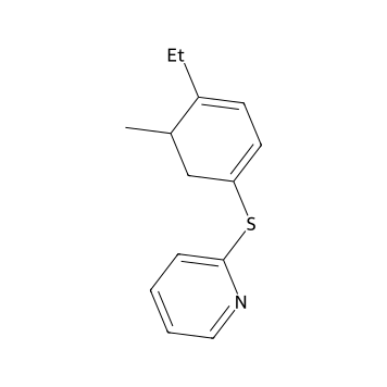 CCC1=CC=C(Sc2ccccn2)CC1C